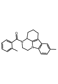 Cc1ccc2c(c1)c1c3n2CCN(C(=O)c2ccccc2C)C3CCC1